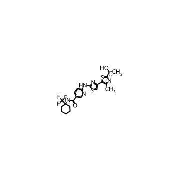 Cc1nc([C@H](C)O)sc1-c1csc(Nc2ccc(C(=O)NC3(C(F)(F)F)CCCCC3)cn2)n1